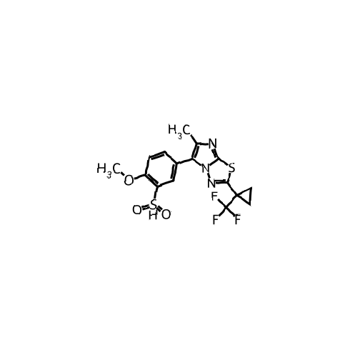 COc1ccc(-c2c(C)nc3sc(C4(C(F)(F)F)CC4)nn23)cc1[SH](=O)=O